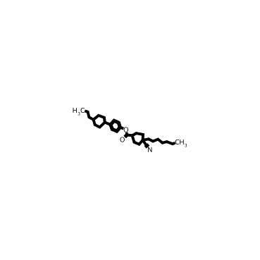 CCCCCCCC1(C#N)CCC(C(=O)Oc2ccc(C3CCC(CCC)CC3)cc2)CC1